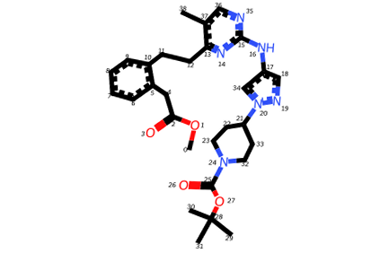 COC(=O)Cc1ccccc1CCc1nc(Nc2cnn(C3CCN(C(=O)OC(C)(C)C)CC3)c2)ncc1C